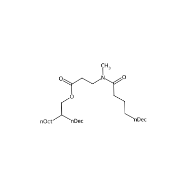 CCCCCCCCCCCCCC(=O)N(C)CCC(=O)OCC(CCCCCCCC)CCCCCCCCCC